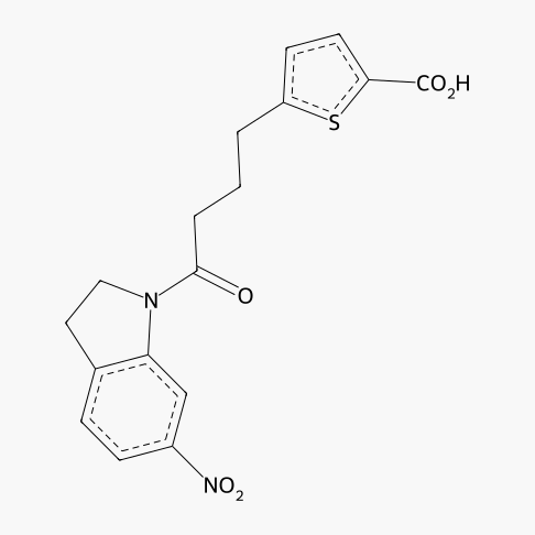 O=C(O)c1ccc(CCCC(=O)N2CCc3ccc([N+](=O)[O-])cc32)s1